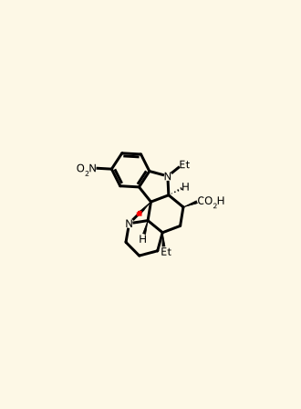 CCN1c2ccc([N+](=O)[O-])cc2[C@]23CCN4CCC[C@@](CC)(C[C@H](C(=O)O)[C@H]12)[C@H]43